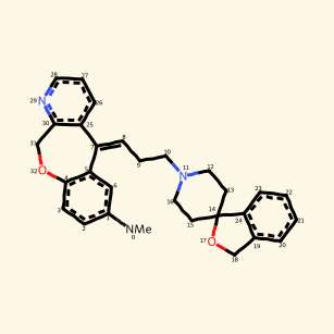 CNc1ccc2c(c1)C(=CCCN1CCC3(CC1)OCc1ccccc13)c1cccnc1CO2